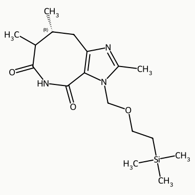 Cc1nc2c(n1COCC[Si](C)(C)C)C(=O)NC(=O)C(C)[C@H](C)C2